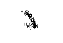 CCn1c(-c2nonc2N)nc2cnc(Sc3cccc(C(=O)OC)c3)cc21